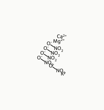 O=[N+]([O-])[O-].O=[N+]([O-])[O-].O=[N+]([O-])[O-].O=[N+]([O-])[O-].O=[N+]([O-])[O-].[Ca+2].[K+].[Mg+2]